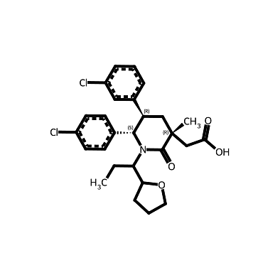 CCC(C1CCCO1)N1C(=O)[C@@](C)(CC(=O)O)C[C@H](c2cccc(Cl)c2)[C@H]1c1ccc(Cl)cc1